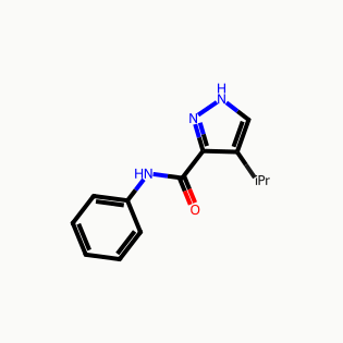 CC(C)c1c[nH]nc1C(=O)Nc1ccccc1